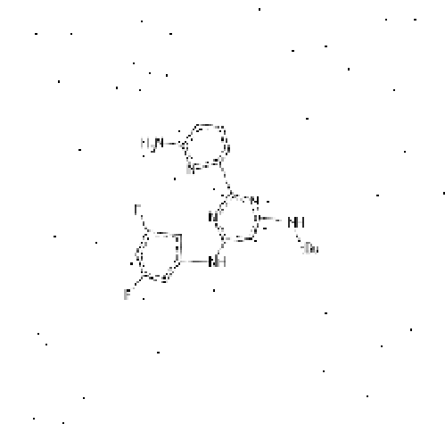 CC(C)(C)Nc1cc(Nc2cc(F)cc(F)c2)nc(-c2cccc(N)n2)n1